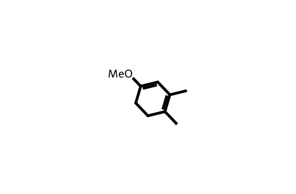 COC1=CC(C)=C(C)CC1